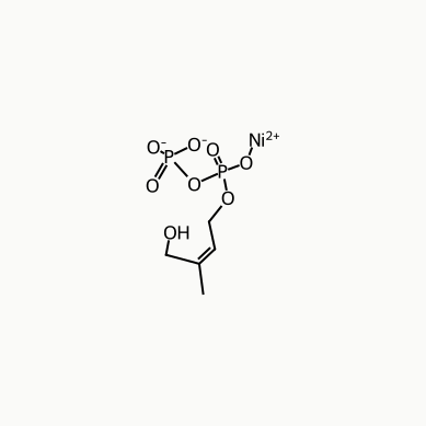 CC(=CCOP(=O)([O][Ni+2])OP(=O)([O-])[O-])CO